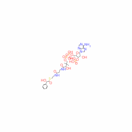 CC(C)(COP(=O)(O)OP(=O)(O)OC[C@H]1O[C@@H](n2cnc3c(N)ncnc32)[C@H](O)[C@@H]1OP(=O)(O)O)[C@@H](O)C(=O)NCCC(=O)NCCSC(=O)[C@@H](O)c1ccccc1